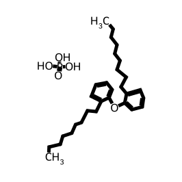 CCCCCCCCCc1ccccc1Oc1ccccc1CCCCCCCCC.O=P(O)(O)O